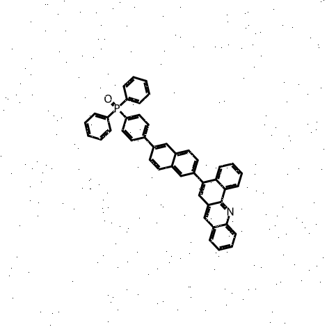 O=P(c1ccccc1)(c1ccccc1)c1ccc(-c2ccc3cc(-c4cc5cc6ccccc6nc5c5ccccc45)ccc3c2)cc1